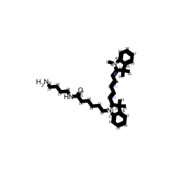 CN1/C(=C/C=C/C=C/C2N(CCCCCC(=O)NCCCCN)c3ccccc3C2(C)C)C(C)(C)c2ccccc21